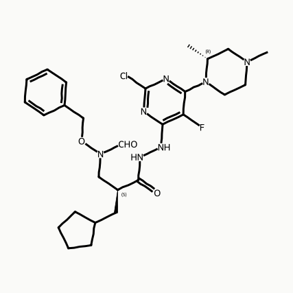 C[C@@H]1CN(C)CCN1c1nc(Cl)nc(NNC(=O)[C@@H](CC2CCCC2)CN(C=O)OCc2ccccc2)c1F